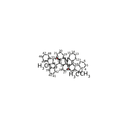 CC1(C)c2ccccc2-c2c(-c3ccccc3N(c3ccccc3)c3ccccc3-c3ccc4c(c3)C(C)(c3ccccc3)c3ccccc3-4)cccc21